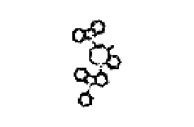 C=C1/C=C(n2c3ccccc3c3ccccc32)\C=C/CN(c2cccc3c2c2ccccc2n3-c2ccccc2)c2ccccc21